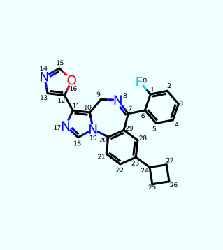 Fc1ccccc1C1=NCc2c(-c3cnco3)ncn2-c2ccc(C3CCC3)cc21